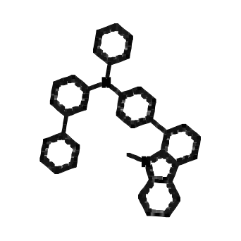 Cn1c2ccccc2c2cccc(-c3ccc(N(c4ccccc4)c4cccc(-c5ccccc5)c4)cc3)c21